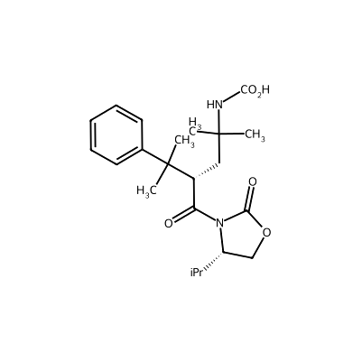 CC(C)[C@H]1COC(=O)N1C(=O)[C@@H](CC(C)(C)NC(=O)O)C(C)(C)c1ccccc1